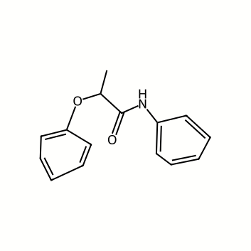 CC(Oc1ccccc1)C(=O)Nc1ccccc1